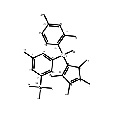 CC1=C(C)C(C)C([Si](C)(c2cc(C)cc([Si](C)(C)C)c2)c2ccc(C)cc2C)=C1C